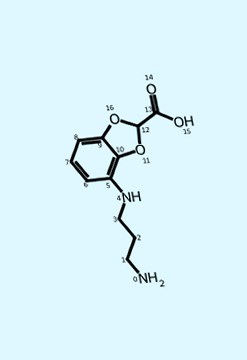 NCCCNc1cccc2c1OC(C(=O)O)O2